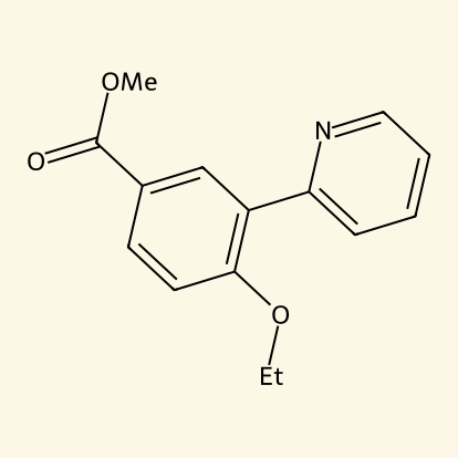 CCOc1ccc(C(=O)OC)cc1-c1ccccn1